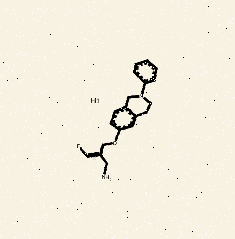 Cl.NC/C(=C/F)COc1ccc2c(c1)CCN(c1ccccc1)C2